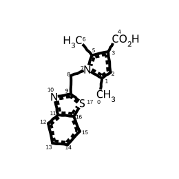 Cc1cc(C(=O)O)c(C)n1Cc1nc2ccccc2s1